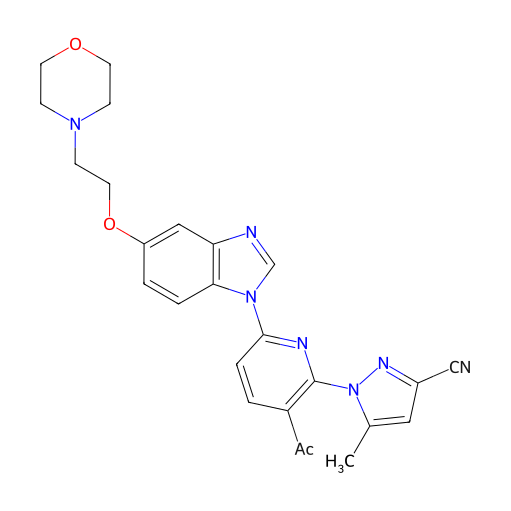 CC(=O)c1ccc(-n2cnc3cc(OCCN4CCOCC4)ccc32)nc1-n1nc(C#N)cc1C